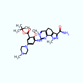 COc1c(Nc2ncc3c(n2)-c2c(c(C(N)=O)nn2C)CC3)cc(N2CCN(C)CC2)cc1C(=O)OC(C)(C)C